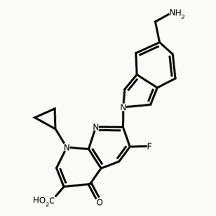 NCc1ccc2cn(-c3nc4c(cc3F)c(=O)c(C(=O)O)cn4C3CC3)cc2c1